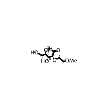 [2H]C(=O)[C@H](OCCOC)[C@H](O)[C@H](O)CO